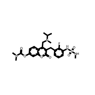 CNS(=O)(=O)Nc1cccc(Cc2c(CN(C)C(C)C)c3ccc(OC(=O)N(C)C)cc3oc2=O)c1F